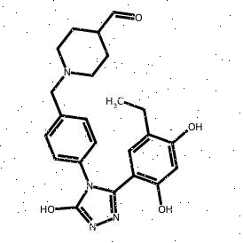 CCc1cc(-c2nnc(O)n2-c2ccc(CN3CCC(C=O)CC3)cc2)c(O)cc1O